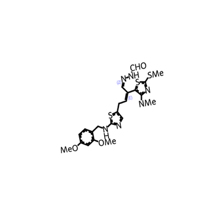 CNc1nc(SC)sc1C(/C=N\NC=O)=C/Cc1cnc(NCc2ccc(OC)cc2OC)s1